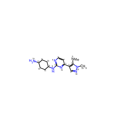 CNc1c(-c2ccnc(NC3CCC(N)CC3)n2)cnn1C